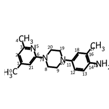 Cc1cc(C)nc(N2CCN(c3ccc(N)c(C)c3)CC2)c1